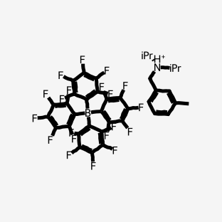 Cc1cccc(C[NH+](C(C)C)C(C)C)c1.Fc1c(F)c(F)c([B-](c2c(F)c(F)c(F)c(F)c2F)(c2c(F)c(F)c(F)c(F)c2F)c2c(F)c(F)c(F)c(F)c2F)c(F)c1F